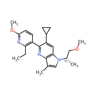 CCc1nc(OC)ccc1-c1nc2c(C)cn([C@@H](C)COC)c2cc1C1CC1